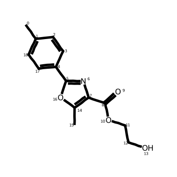 Cc1ccc(-c2nc(C(=O)OCCO)c(C)o2)cc1